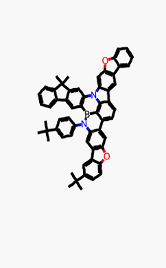 CC(C)(C)c1ccc(N2B3c4cc5c(cc4-n4c6cc7oc8ccccc8c7cc6c6ccc(c3c64)-c3cc4oc6ccc(C(C)(C)C)cc6c4cc32)C(C)(C)c2ccccc2-5)cc1